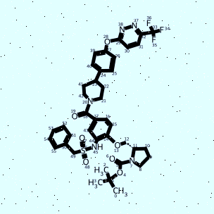 CC(C)(C)OC(=O)N1CCC[C@H]1COc1ccc(C(=O)N2CCC(c3ccc(Oc4ccc(C(F)(F)F)nn4)cc3)CC2)cc1NS(=O)(=O)Cc1ccccc1